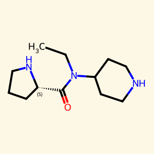 CCN(C(=O)[C@@H]1CCCN1)C1CCNCC1